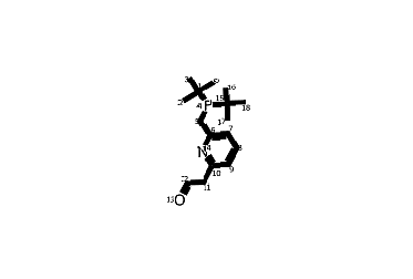 CC(C)(C)P(Cc1cccc(CC=O)n1)C(C)(C)C